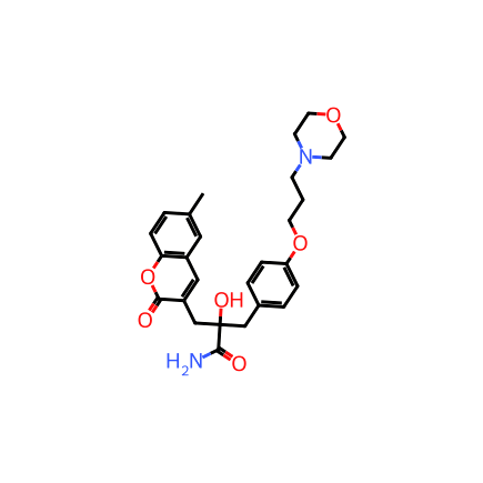 Cc1ccc2oc(=O)c(CC(O)(Cc3ccc(OCCCN4CCOCC4)cc3)C(N)=O)cc2c1